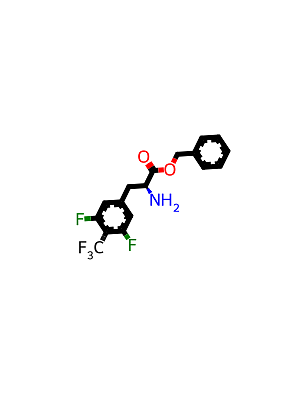 N[C@@H](Cc1cc(F)c(C(F)(F)F)c(F)c1)C(=O)OCc1ccccc1